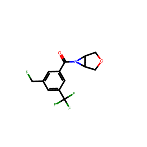 O=C(c1cc(CF)cc(C(F)(F)F)c1)N1C2COCC21